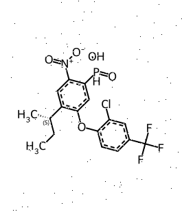 CC[C@H](C)c1cc([N+](=O)[O-])c([PH](=O)O)cc1Oc1ccc(C(F)(F)F)cc1Cl